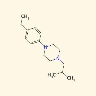 CCc1ccc(N2CCN(CC(C)C)CC2)cc1